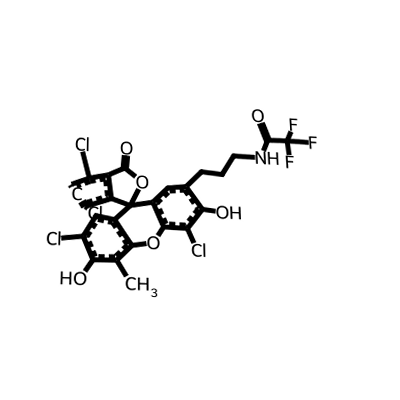 Cc1c(O)c(Cl)cc2c1Oc1c(cc(CCCNC(=O)C(F)(F)F)c(O)c1Cl)C21OC(=O)c2c(Cl)ccc(Cl)c21